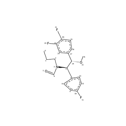 CCCN(C=O)[C@H](c1ccc(F)cc1)[C@@H](OC)c1ccc(F)c(F)c1